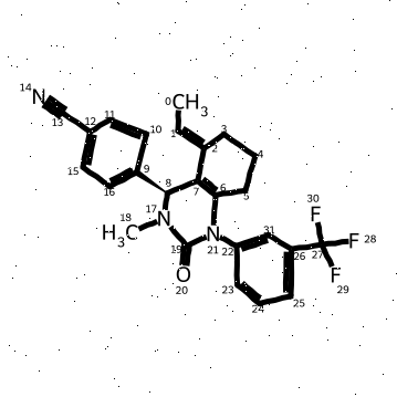 CC=C1CCCC2=C1[C@H](c1ccc(C#N)cc1)N(C)C(=O)N2c1cccc(C(F)(F)F)c1